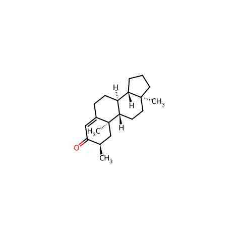 C[C@@H]1C[C@@]2(C)C(=CC1=O)CC[C@H]1[C@@H]3CCC[C@@]3(C)CC[C@@H]12